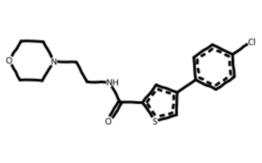 O=C(NCCN1CCOCC1)c1cc(-c2ccc(Cl)cc2)cs1